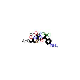 CC(=O)OCC1=C(OC(=O)O)N2C(=O)C(NC(=O)C(=C(Cl)Cl)c3ccc(N)cc3)[C@@H]2SC1